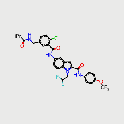 CC(C)C(=O)NCc1ccc(Cl)c(C(=O)Nc2ccc3c(c2)cc(C(=O)Nc2ccc(OC(F)(F)F)cc2)n3CC(F)F)c1